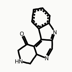 O=C1CNCC2N=CC3=Nc4ccccc4C3=C12